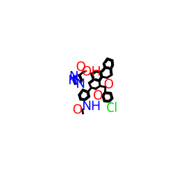 CC(=O)Nc1cccc(C2C=c3ccc4c(c3C(Cc3ccc(Cl)cc3)C2=O)C(=O)C=c2ccccc2=4)c1.O=C(O)c1cncnn1